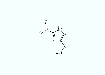 O=C(Cl)c1cc(C[N+](=O)[O-])c[nH]1